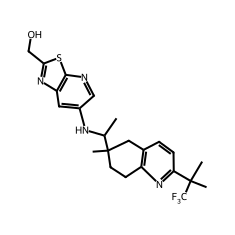 CC(Nc1cnc2sc(CO)nc2c1)C1(C)CCc2nc(C(C)(C)C(F)(F)F)ccc2C1